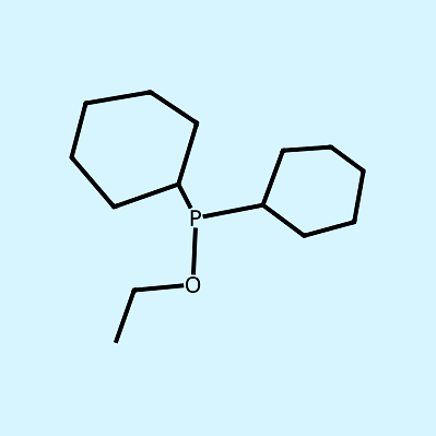 CCOP(C1CCCCC1)C1CCCCC1